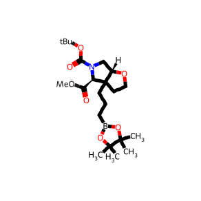 COC(=O)[C@H]1N(C(=O)OC(C)(C)C)C[C@@H]2OCCC21CCCB1OC(C)(C)C(C)(C)O1